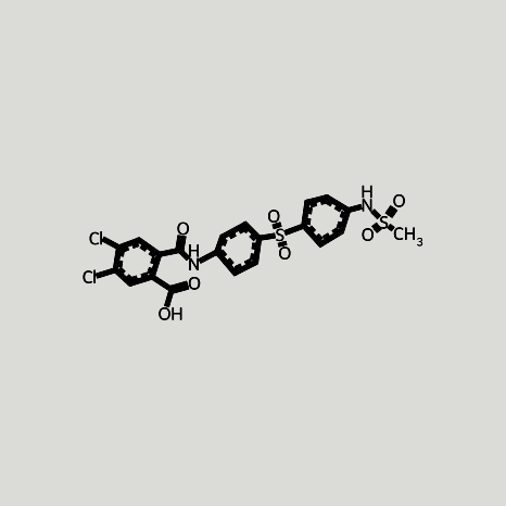 CS(=O)(=O)Nc1ccc(S(=O)(=O)c2ccc(NC(=O)c3cc(Cl)c(Cl)cc3C(=O)O)cc2)cc1